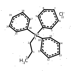 CCC[N+](c1ccccc1)(c1ccccc1)c1ccccc1.[Cl-]